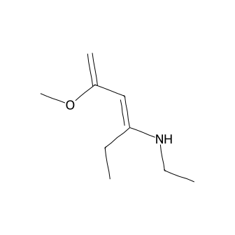 C=C(/C=C(\CC)NCC)OC